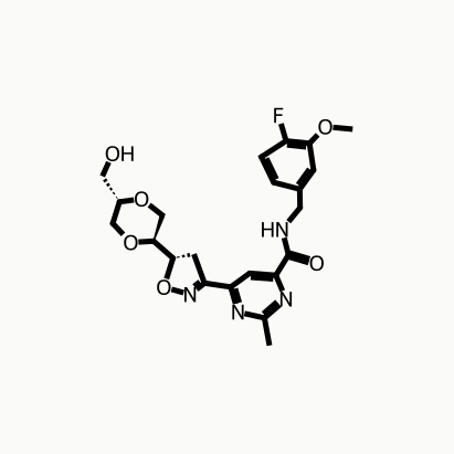 COc1cc(CNC(=O)c2cc(C3=NO[C@H]([C@@H]4CO[C@@H](CO)CO4)C3)nc(C)n2)ccc1F